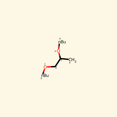 CCCCO[CH]C(C)OCCCC